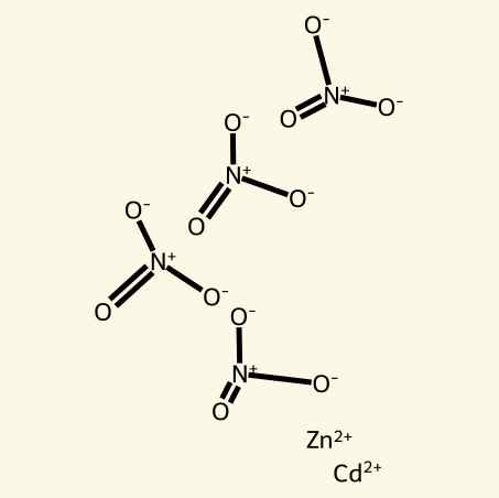 O=[N+]([O-])[O-].O=[N+]([O-])[O-].O=[N+]([O-])[O-].O=[N+]([O-])[O-].[Cd+2].[Zn+2]